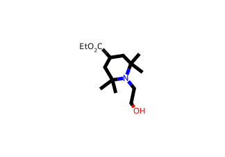 CCOC(=O)C1CC(C)(C)N(CCO)C(C)(C)C1